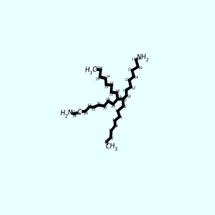 CCCCCCCCCC(CCCCCCCCN)C(CCCCCCCC)CCCCCCCCCN